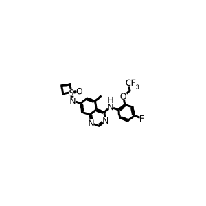 Cc1cc(N=S2(=O)CCC2)cc2ncnc(Nc3ccc(F)cc3OCC(F)(F)F)c12